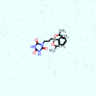 CC(C)O[Si](CCCn1c(=O)[nH]c(=O)[nH]c1=O)(OC(C)C)c1ccccc1